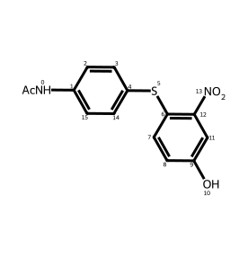 CC(=O)Nc1ccc(Sc2ccc(O)cc2[N+](=O)[O-])cc1